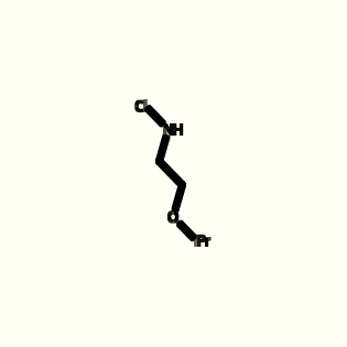 CC(C)OCCNCl